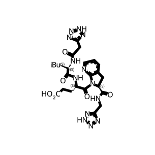 CC[C@H](C)[C@H](NC(=O)Cc1nn[nH]n1)C(=O)N[C@@H](CCC(=O)O)C(=O)N1c2ncccc2C[C@H]1C(=O)NCc1nn[nH]n1